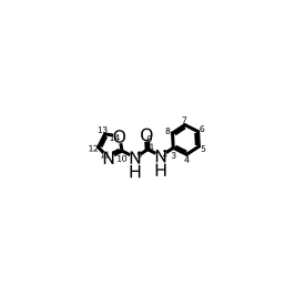 O=C(Nc1ccccc1)Nc1ncco1